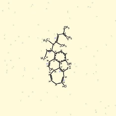 C=C(C)/C=C(\C)C(C)/C(=C/C)c1ccc(O)c(/C2=C(F)/C=C(/Cl)CC=CC2)c1/C=C\C